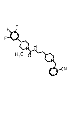 C[C@@H]1CN(c2cc(F)c(F)c(F)c2)CCN1C(=O)NCCC1CCN(Cc2ccccc2C#N)CC1